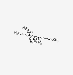 CCCCCCCCCCC[C@H](CC(=O)C(CCCCCC)C(=O)OCC)O[Si](C)(C)C